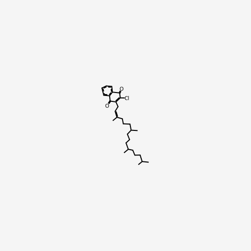 CC(=CCC1=C(Cl)C(=O)c2ccccc2C1=O)CCCC(C)CCCC(C)CCCC(C)C